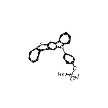 OB(O)Oc1ccc(-n2c3ccccc3c3cc4sc5ccccc5c4cc32)cc1